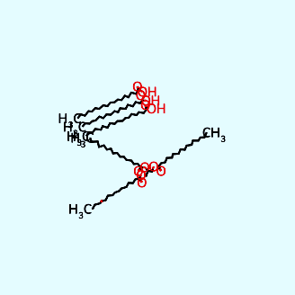 CCCCCCCCCCCCCCCC(=O)OCC(COC(=O)CCCCCCCCCCCCCCC)OC(=O)CCCCCCCCCCCCCCC.CCCCCCCCCCCCCCCCCC(=O)O.CCCCCCCCCCCCCCCCCC(=O)O.CCCCCCCCCCCCCCCCCC(=O)O